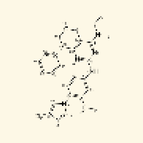 CCN(C)c1nc(Nc2ccc(-n3cnc(Cl)c3)c(OC)c2)nc2c1COC[C@H]2c1ccccc1